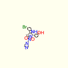 CCC12Cc3c([nH]c4ccc(Br)cc34)C(c3cccc(O)c3)N1C(=O)N(CCN1CCN(C)CC1)C2=O